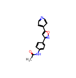 CC(=O)Nc1ccc(-c2cc(-c3ccncc3)on2)cc1